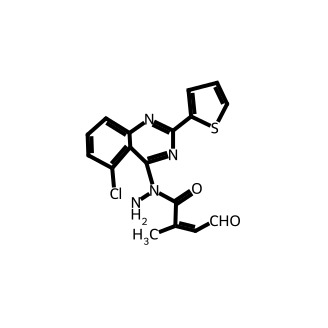 C/C(=C/C=O)C(=O)N(N)c1nc(-c2cccs2)nc2cccc(Cl)c12